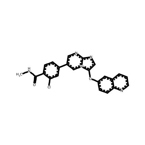 CNC(=O)c1ccc(-c2cnc3ncc(Oc4ccc5ncccc5c4)n3c2)cc1Cl